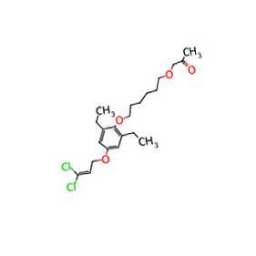 CCc1cc(OCC=C(Cl)Cl)cc(CC)c1OCCCCCCOCC(C)=O